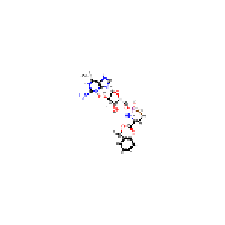 COc1nc(N)nc2c1ncn2[C@@H]1O[C@H](CO[P@@]2(=O)NC(C(=O)O[C@H](C)c3ccccc3)CCS2)[C@@H](O)[C@@]1(C)O